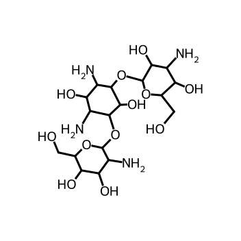 NC1C(O)C(CO)OC(OC2C(N)C(O)C(N)C(OC3OC(CO)C(O)C(O)C3N)C2O)C1O